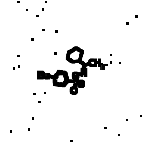 CCC(C)c1ccc(S(=O)(=O)ON=C(C)C2CCCCC2)cc1